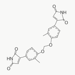 Cc1cc(C2=CC(=O)NC2=O)ccc1OCOc1ccc(C2=CC(=O)NC2=O)cc1C